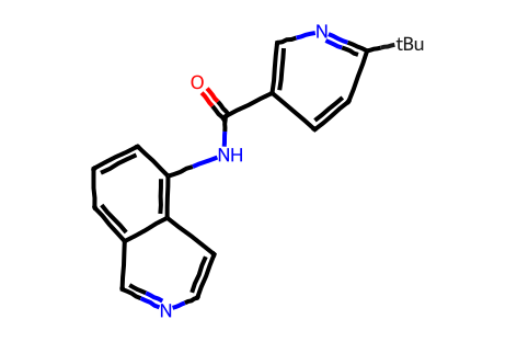 CC(C)(C)c1ccc(C(=O)Nc2cccc3cnccc23)cn1